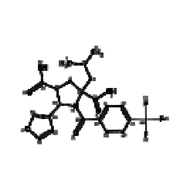 CC(C)CC1(C(=O)O)CC(C(=O)O)C(c2ccoc2)N1C(=O)c1ccc(C(F)(F)F)cc1